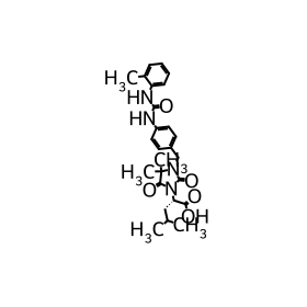 Cc1ccccc1NC(=O)Nc1ccc(CN2C(=O)N([C@@H](CC(C)C)C(=O)O)C(=O)C2(C)C)cc1